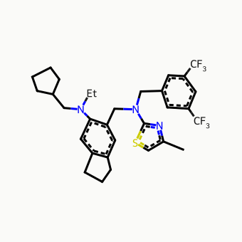 CCN(CC1CCCC1)c1cc2c(cc1CN(Cc1cc(C(F)(F)F)cc(C(F)(F)F)c1)c1nc(C)cs1)CCC2